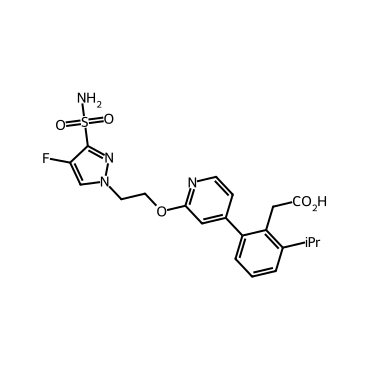 CC(C)c1cccc(-c2ccnc(OCCn3cc(F)c(S(N)(=O)=O)n3)c2)c1CC(=O)O